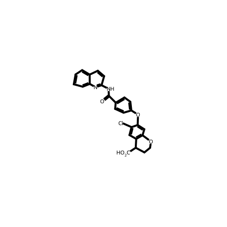 O=C(Nc1ccc2ccccc2n1)c1ccc(Oc2cc3c(cc2Cl)C(C(=O)O)CCO3)cc1